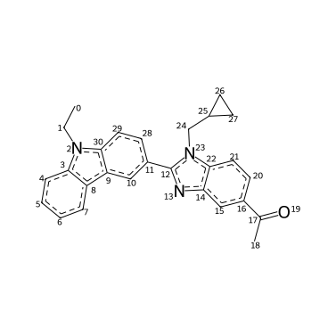 CCn1c2ccccc2c2cc(-c3nc4cc(C(C)=O)ccc4n3CC3CC3)ccc21